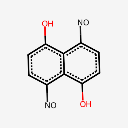 O=Nc1ccc(O)c2c(N=O)ccc(O)c12